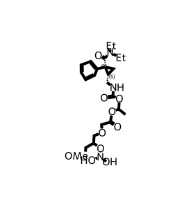 CCN(CC)C(=O)[C@]1(c2ccccc2)C[C@@H]1CNC(=O)OC(C)OC(=O)COCC(COC)ON(O)O